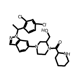 CC(c1ccc(Cl)cc1Cl)n1ncc2ccc(N3CCN(C(=O)C4CCCCN4)C(CO)C3)cc21